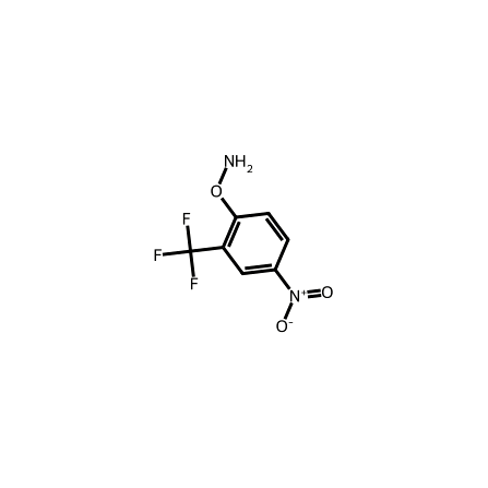 NOc1ccc([N+](=O)[O-])cc1C(F)(F)F